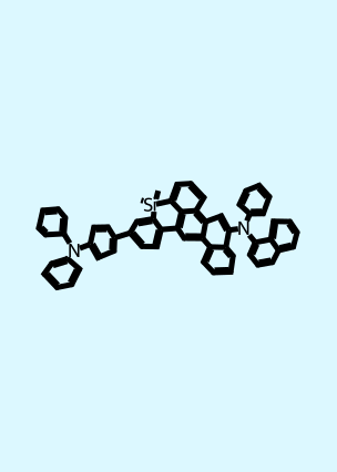 C[Si]1(C)c2cc(-c3ccc(N(c4ccccc4)c4ccccc4)cc3)ccc2-c2cc3c4ccccc4c(N(c4ccccc4)c4cccc5ccccc45)cc3c3cccc1c23